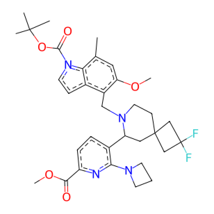 COC(=O)c1ccc(C2CC3(CCN2Cc2c(OC)cc(C)c4c2ccn4C(=O)OC(C)(C)C)CC(F)(F)C3)c(N2CCC2)n1